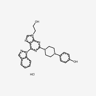 Cl.OCCn1cnc2c(-n3ncc4ccccc43)nc(N3CCN(c4ccc(O)cc4)CC3)nc21